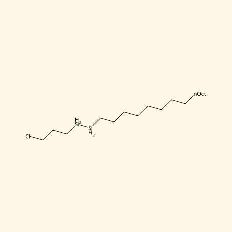 CCCCCCCCCCCCCCCC[SiH2][SiH2]CCCCl